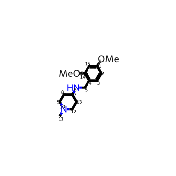 COc1ccc(CNC2CCN(C)CC2)c(OC)c1